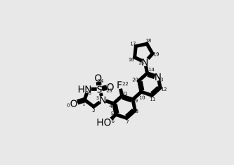 O=C1CN(c2c(O)ccc(-c3ccnc(N4CCCC4)c3)c2F)S(=O)(=O)N1